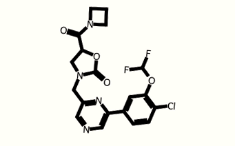 O=C1OC(C(=O)N2CCC2)CN1Cc1cncc(-c2ccc(Cl)c(OC(F)F)c2)n1